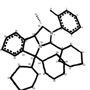 Cc1ccccc1N1C(C2CCCCC2)N2C(c3ccccc3C2(C2CCCCC2)C2CCCCC2)[C@@H]1C